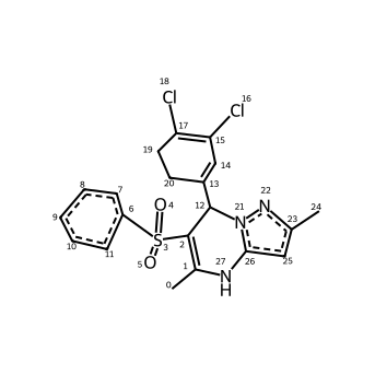 CC1=C(S(=O)(=O)c2ccccc2)C(C2=CC(Cl)=C(Cl)CC2)n2nc(C)cc2N1